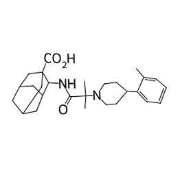 Cc1ccccc1C1CCN(C(C)(C)C(=O)NC2C3CC4CC(C3)CC2(C(=O)O)C4)CC1